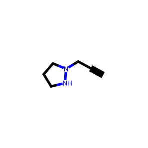 C#CCN1CCCN1